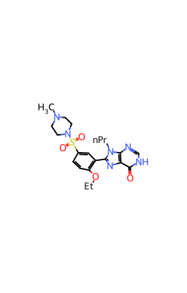 CCCn1c(-c2cc(S(=O)(=O)N3CCN(C)CC3)ccc2OCC)nc2c(=O)[nH]cnc21